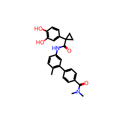 Cc1ccc(NC(=O)C2(c3ccc(O)c(O)c3)CC2)cc1-c1ccc(C(=O)N(C)C)cc1